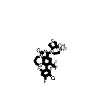 CC12CSCC1N(c1nc(=O)n3c4c(c(-c5cc(Cl)c(F)cc5F)c(C(F)(F)F)cc14)SCCC3)CCN2